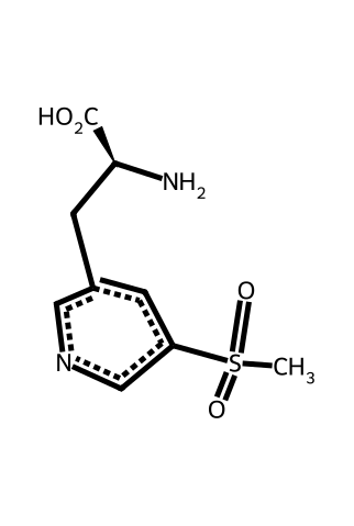 CS(=O)(=O)c1cncc(C[C@H](N)C(=O)O)c1